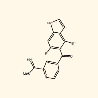 CSC(=N)c1cc(C(=O)c2c(F)cc3[nH]ccc3c2Br)ccn1